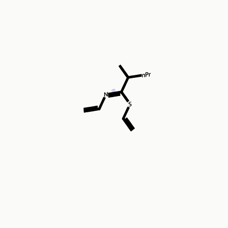 C=C/N=C(\SC=C)C(C)CCC